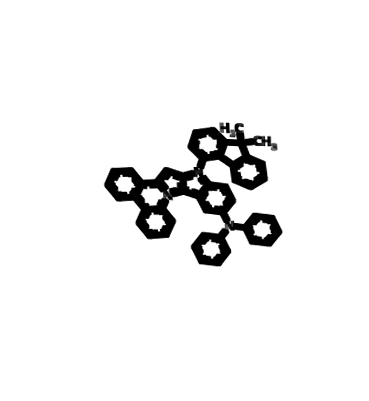 CC1(C)c2ccccc2-c2c(-n3c4ccc(N(c5ccccc5)c5ccccc5)cc4c4c3cc3c5ccccc5c5ccccc5n34)cccc21